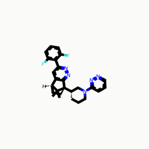 CC1(C)[C@H]2CC[C@]1([C@H]1CCCN(c3cccnn3)C1)c1nnc(-c3c(F)cccc3F)cc12